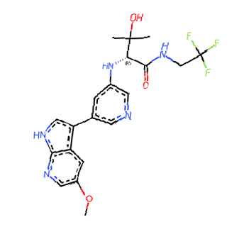 COc1cnc2[nH]cc(-c3cncc(N[C@@H](C(=O)NCC(F)(F)F)C(C)(C)O)c3)c2c1